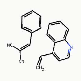 C=Cc1ccnc2ccccc12.N#CC(C#N)=Cc1ccccc1